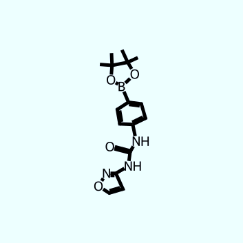 CC1(C)OB(c2ccc(NC(=O)Nc3ccon3)cc2)OC1(C)C